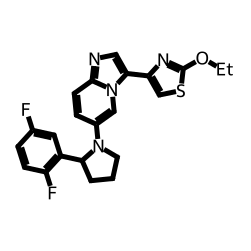 CCOc1nc(-c2cnc3ccc(N4CCCC4c4cc(F)ccc4F)cn23)cs1